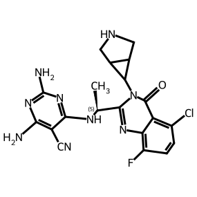 C[C@H](Nc1nc(N)nc(N)c1C#N)c1nc2c(F)ccc(Cl)c2c(=O)n1C1C2CNCC21